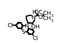 CC(C)(C)OC(=O)N1CCC[C@@H](N2c3ccc(Cl)cc3Sc3cc(Cl)ccc32)[C@H](O)C1